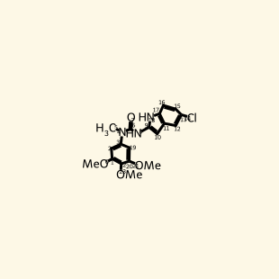 COc1cc(N(C)C(=O)Nc2cc3cc(Cl)ccc3[nH]2)cc(OC)c1OC